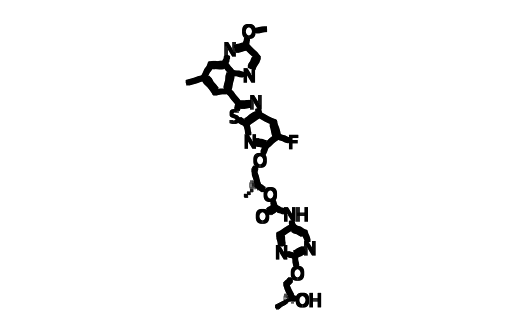 COc1cnc2c(-c3nc4cc(F)c(OC[C@@H](C)OC(=O)Nc5cnc(OC[C@H](C)O)nc5)nc4s3)cc(C)cc2n1